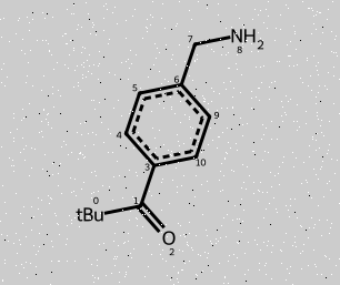 CC(C)(C)C(=O)c1ccc(CN)cc1